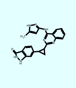 Cc1cc(Nc2nc(C3CC3c3ccc4c(=O)[nH][nH]c4c3)nc3ccccc23)n[nH]1